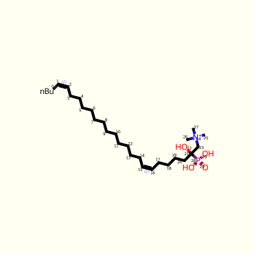 CCCC/C=C\CCCCCCCCCCCC/C=C\CCCCC(O)(C[N+](C)(C)C)P(=O)(O)O